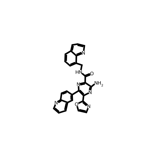 Nc1nc(-c2ncco2)c(-c2ccc3ncccc3c2)nc1C(=O)NCc1cccc2cccnc12